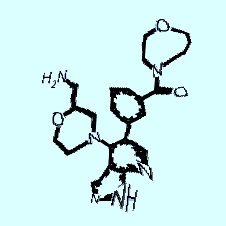 NCC1CN(c2c(-c3cccc(C(=O)N4CCOCC4)c3)cnc3[nH]ncc23)CCO1